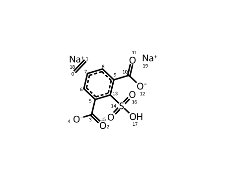 C=C.O=C([O-])c1cccc(C(=O)[O-])c1S(=O)(=O)O.[Na+].[Na+]